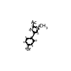 CC(=O)c1nc(-c2ccc(Br)cc2)cn1C